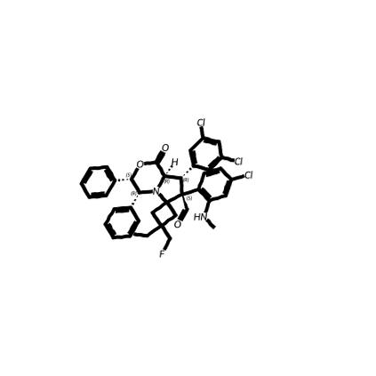 CNc1cc(Cl)ccc1[C@@]1(C=O)[C@@H](c2cc(Cl)cc(Cl)c2)[C@@H]2C(=O)O[C@@H](c3ccccc3)[C@@H](c3ccccc3)N2C12CC(CF)(CF)C2